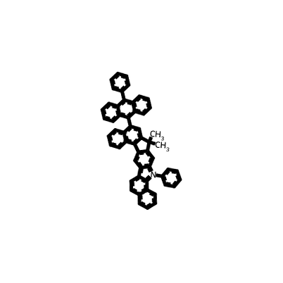 CC1(C)c2cc3c(cc2-c2c1cc(-c1c4ccccc4c(-c4ccccc4)c4ccccc14)c1ccccc21)c1ccc2ccccc2c1n3-c1ccccc1